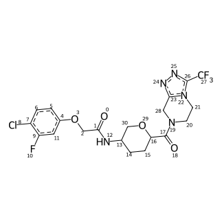 O=C(COc1ccc(Cl)c(F)c1)NC1CCC(C(=O)N2CCn3c(nnc3C(F)(F)F)C2)OC1